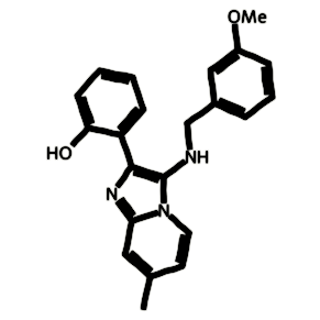 COc1cccc(CNc2c(-c3ccccc3O)nc3cc(C)ccn23)c1